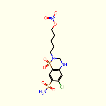 NS(=O)(=O)c1cc2c(cc1Cl)NCN(CCCCCO[N+](=O)[O-])S2(=O)=O